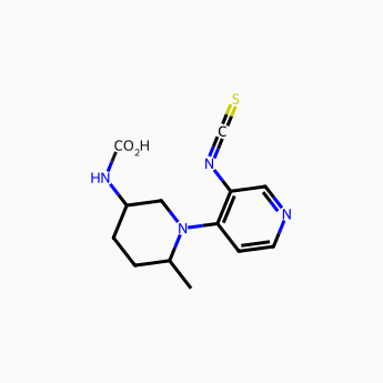 CC1CCC(NC(=O)O)CN1c1ccncc1N=C=S